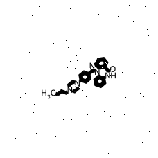 CCCCN1CCN(c2ccc(-c3nc4cccc5c4n3-c3ccccc3NC5=O)cc2)CC1